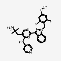 CCOc1cc(F)c(Cn2nc(-c3ncc(CC(C)(C)N)c(Nc4ccncc4)n3)c3ccccc32)c(F)c1